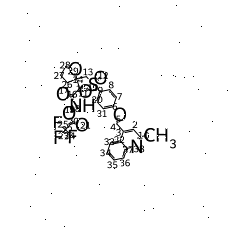 Cc1cc(COc2ccc(S(=O)(=O)CC3(CC(=O)NOC(=O)C(F)(F)F)CCCO3)cc2)c2ccccc2n1